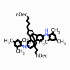 CCCCCCCCCCCCCCC1C[C@]23CC(CCCCCCCCCCCCCC)C[C@@]2(C1)c1cc(Nc2c(C)cc(C)cc2C)ccc1-c1ccc(Nc2c(C)cc(C)cc2C)cc13